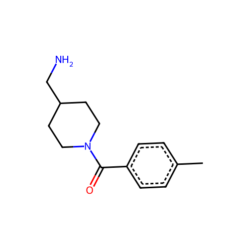 Cc1ccc(C(=O)N2CCC(CN)CC2)cc1